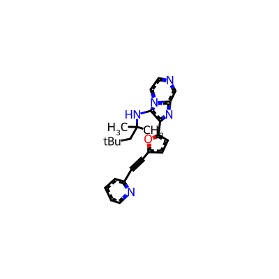 CC(C)(C)CC(C)(C)Nc1c(-c2ccc(C#Cc3ccccn3)o2)nc2cnccn12